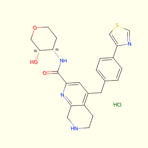 Cl.O=C(N[C@H]1CCOC[C@H]1O)c1cc(Cc2ccc(-c3cscn3)cc2)c2c(n1)CNCC2